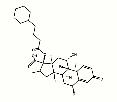 CC1C[C@H]2[C@@H]3C[C@H](F)C4=CC(=O)C=C[C@]4(C)[C@@]3(F)[C@@H](O)C[C@]2(C)[C@@]1(OC(=O)CCCC1CCCCC1)C(O)=S